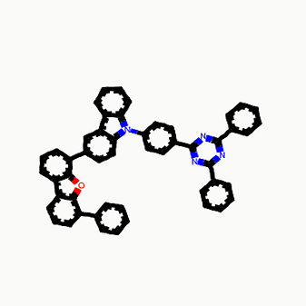 c1ccc(-c2nc(-c3ccccc3)nc(-c3ccc(-n4c5ccccc5c5cc(-c6cccc7c6oc6c(-c8ccccc8)cccc67)ccc54)cc3)n2)cc1